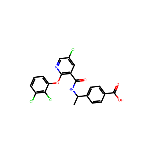 CC(NC(=O)c1cc(Cl)cnc1Oc1cccc(Cl)c1Cl)c1ccc(C(=O)O)cc1